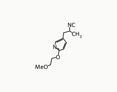 [C-]#[N+]C(C)Cc1ccc(OCCOC)nc1